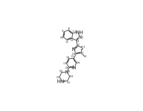 Cc1sc(-c2n[nH]c3ccccc23)nc1-c1ccc(N2CCNCC2)nc1